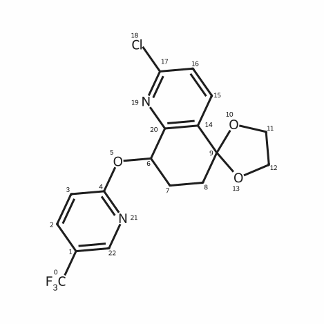 FC(F)(F)c1ccc(OC2CCC3(OCCO3)c3ccc(Cl)nc32)nc1